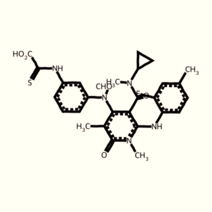 Cc1ccc(Nc2c(C(=O)N(C)C3CC3)c(N(C=O)c3cccc(NC(=S)C(=O)O)c3)c(C)c(=O)n2C)c(F)c1